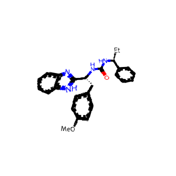 CC[C@H](NC(=O)N[C@H](Cc1ccc(OC)cc1)c1nc2ccccc2[nH]1)c1ccccc1